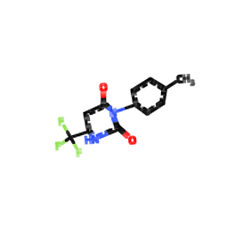 Cc1ccc(-n2c(=O)cc(C(F)(F)F)[nH]c2=O)cc1